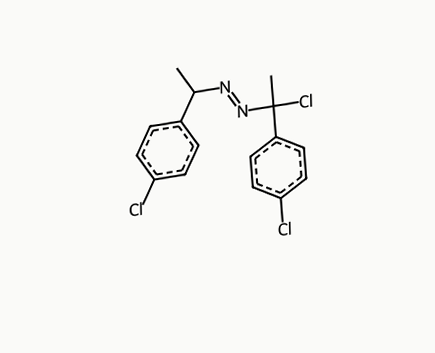 CC(/N=N/C(C)(Cl)c1ccc(Cl)cc1)c1ccc(Cl)cc1